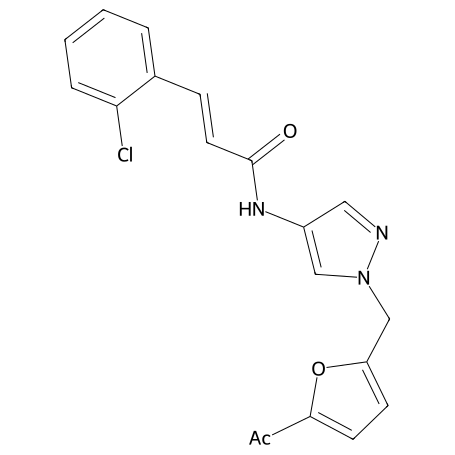 CC(=O)c1ccc(Cn2cc(NC(=O)C=Cc3ccccc3Cl)cn2)o1